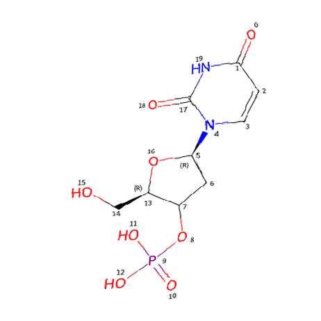 O=c1ccn([C@H]2CC(OP(=O)(O)O)[C@@H](CO)O2)c(=O)[nH]1